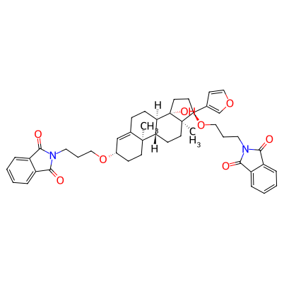 C[C@]12CC[C@H]3[C@@H](CCC4=C[C@@H](OCCCN5C(=O)c6ccccc6C5=O)CC[C@@]43C)[C@@]1(O)CC[C@]2(OCCCN1C(=O)c2ccccc2C1=O)c1ccoc1